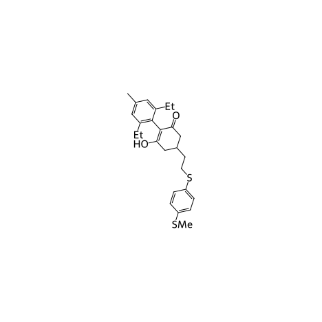 CCc1cc(C)cc(CC)c1C1=C(O)CC(CCSc2ccc(SC)cc2)CC1=O